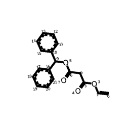 C=COC(=O)CC(=O)OC(c1ccccc1)c1ccccc1